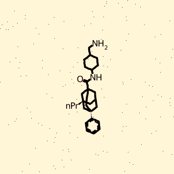 CCC[C@]12CC3CC(C(=O)NC4CCC(CN)CC4)(C1)C[C@@](c1ccccc1)(C3)C2